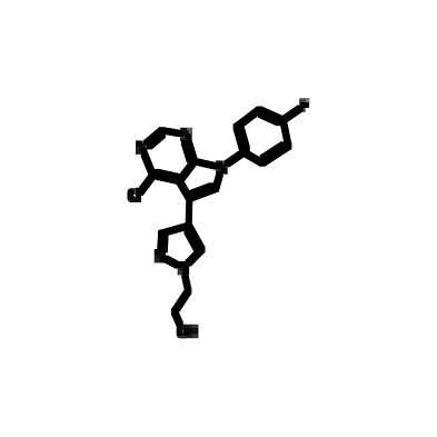 OCCn1cc(-c2cn(-c3ccc(F)cc3)c3ncnc(Cl)c23)cn1